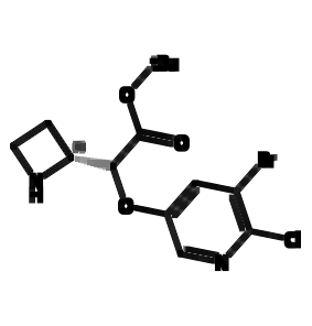 CC(C)(C)OC(=O)C(Oc1cnc(Cl)c(Br)c1)[C@H]1CCN1